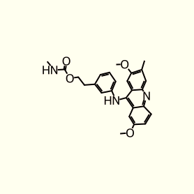 CNC(=O)OCCc1cccc(Nc2c3cc(OC)ccc3nc3cc(C)c(OC)cc23)c1